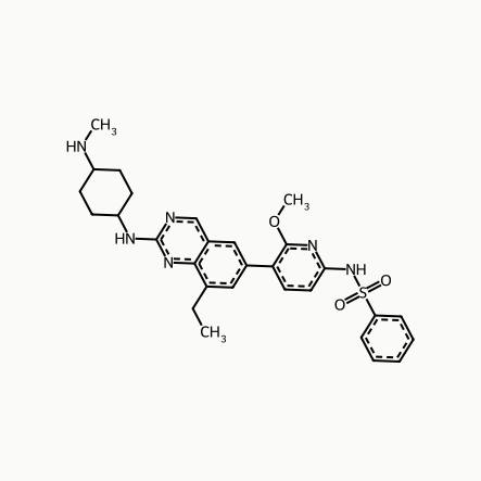 CCc1cc(-c2ccc(NS(=O)(=O)c3ccccc3)nc2OC)cc2cnc(NC3CCC(NC)CC3)nc12